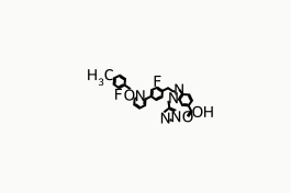 Cc1ccc(COc2cccc(-c3ccc(Cc4nc5ccc(C(=O)O)cc5n4Cc4cncnc4)c(F)c3)n2)c(F)c1